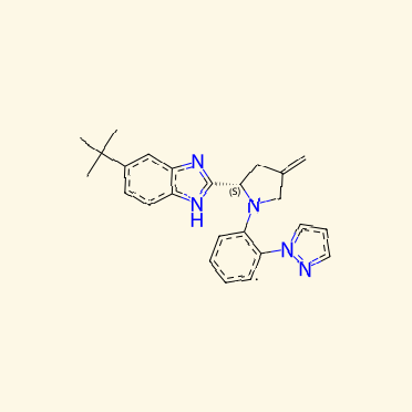 C=C1C[C@@H](c2nc3cc(C(C)(C)C)ccc3[nH]2)N(c2ccc[c]c2-n2cccn2)C1